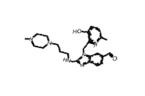 Cc1ccc(O)c(Cn2c(NCCCN3CCN(C)CC3)nc3ccc(C=O)cc32)n1